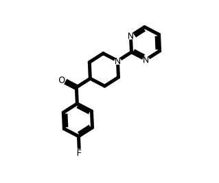 O=C(c1ccc(F)cc1)C1CCN(c2ncccn2)CC1